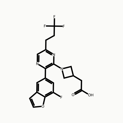 O=C(O)CC1CN(c2nc(CCC(F)(F)F)cnc2-c2cc(F)c3occc3c2)C1